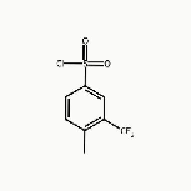 Cc1ccc(S(=O)(=O)Cl)cc1C(F)(F)F